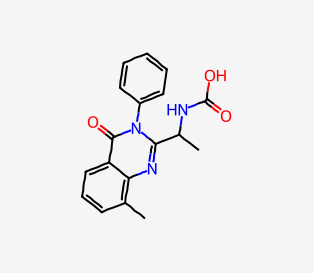 Cc1cccc2c(=O)n(-c3ccccc3)c(C(C)NC(=O)O)nc12